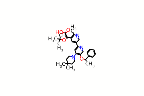 Cc1ncc(-c2cc(N3CCC(C)(C)CC3)c(OC(C)c3ccccc3)cn2)cc1C(OC(C)(C)C)C(=O)O